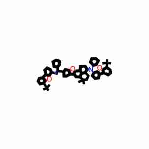 CC(C)(C)c1cccc2c1oc1c(/C=C(\c3ccccc3)c3ccc4c(c3)oc3c5ccc(N(c6ccccc6)c6cccc7c6oc6c(C(C)(C)C)cccc67)c6c5c(cc43)C(C)(C)CC6)cccc12